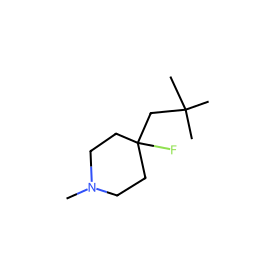 CN1CCC(F)(CC(C)(C)C)CC1